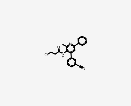 Cc1nc(-c2ccccc2)cc(-c2cccc(C#N)c2)c1NC(=O)CCCl